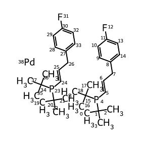 CC(C)(C)P(C=CCc1ccc(F)cc1)C(C)(C)C.CC(C)(C)P(C=CCc1ccc(F)cc1)C(C)(C)C.[Pd]